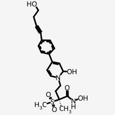 C[C@](CCN1C=CC(c2ccc(C#CCCO)cc2)=CC1O)(C(=O)NO)S(C)(=O)=O